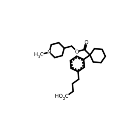 CN1CCC(COC(=O)C2(c3cccc(CCCC(=O)O)c3)CCCCC2)CC1